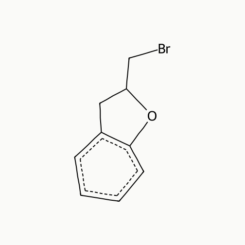 BrCC1Cc2ccccc2O1